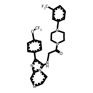 O=C(CNc1c(-c2ccc(OC(F)(F)F)cc2)nc2cnccn12)N1CCN(c2cccc(C(F)(F)F)c2)CC1